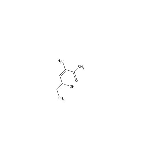 CCC(O)C=C(C)C(C)=O